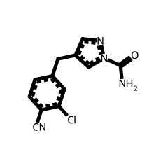 N#Cc1ccc([CH]c2cnn(C(N)=O)c2)cc1Cl